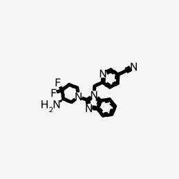 N#Cc1ccc(Cn2c(N3CCC(F)(F)[C@H](N)C3)nc3ccccc32)nc1